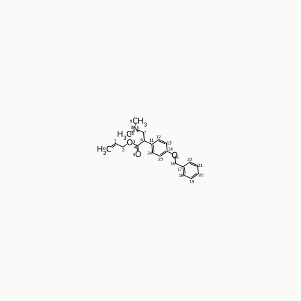 C=CCOC(=O)C(CN(C)C)c1ccc(OCc2ccccc2)cc1